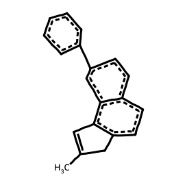 CC1=Cc2c(ccc3ccc(-c4ccccc4)cc23)C1